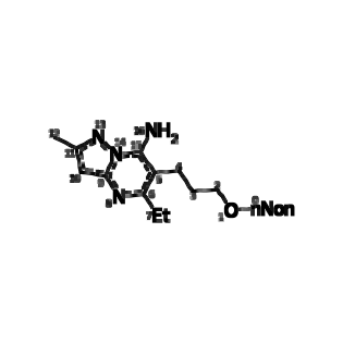 CCCCCCCCCOCCCc1c(CC)nc2cc(C)nn2c1N